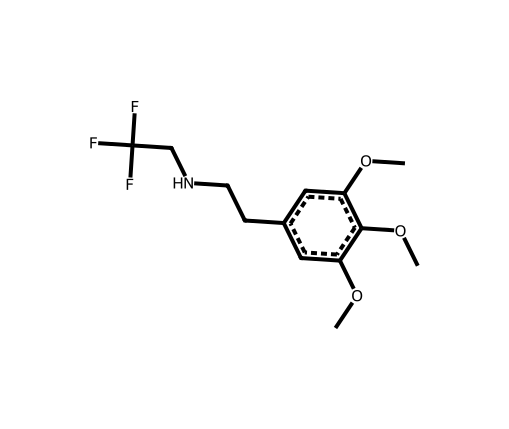 COc1cc(CCNCC(F)(F)F)cc(OC)c1OC